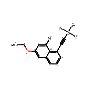 [2H]c1cc(OCOC)cc2cccc(C#C[Si](C(C)C)(C(C)C)C(C)C)c12